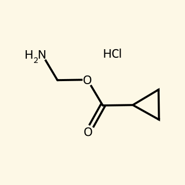 Cl.NCOC(=O)C1CC1